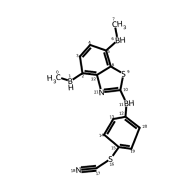 CBc1ccc(BC)c2sc(Bc3ccc(SC#N)cc3)nc12